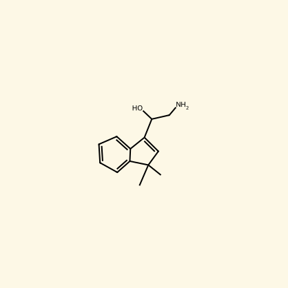 CC1(C)C=C(C(O)CN)c2ccccc21